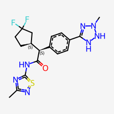 Cc1nsc(NC(=O)[C@H](c2ccc(C3=NN(C)NN3)cc2)[C@H]2CCC(F)(F)C2)n1